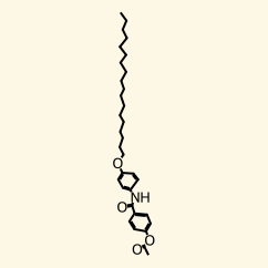 CCCCCCCCCCCCCCCCCCOc1ccc(NC(=O)c2ccc(OC(C)=O)cc2)cc1